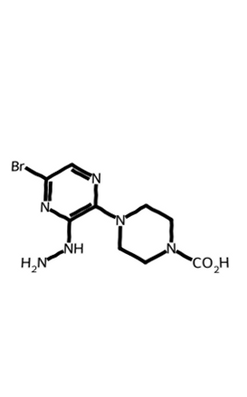 NNc1nc(Br)cnc1N1CCN(C(=O)O)CC1